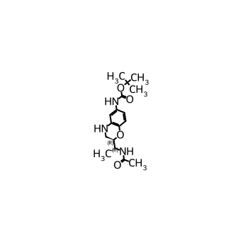 CC(=O)N[C@H](C)[C@H]1CNc2cc(NC(=O)OC(C)(C)C)ccc2O1